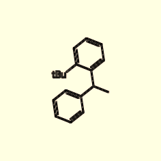 CC(c1ccccc1)c1ccccc1C(C)(C)C